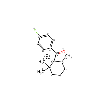 CC1CCCC(C)(C)[C@@]1(C)C(=O)c1ccc(F)cc1